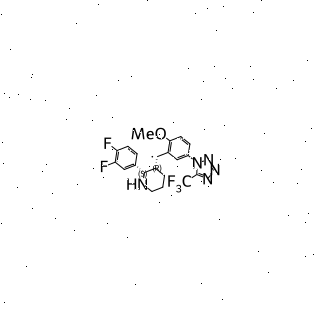 COc1ccc(-n2nnnc2C(F)(F)F)cc1[CH][C@@H]1CCCN[C@@H]1c1ccc(F)c(F)c1